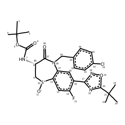 CC(C)(C)OC(=O)N[C@H]1C[S+]([O-])c2cc(F)c(-c3noc(C(C)(C)C)n3)cc2N(Cc2ccc(Cl)cc2)C1=O